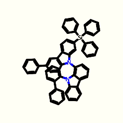 c1ccc(-c2ccc3c(c2)c2ccc([Si](c4ccccc4)(c4ccccc4)c4ccccc4)cc2n3-c2cccc3c4ccccc4n(-c4ccccc4-c4ccccc4)c23)cc1